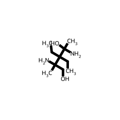 CCC(CC)(C(C)(N)O)C(C)(N)CO